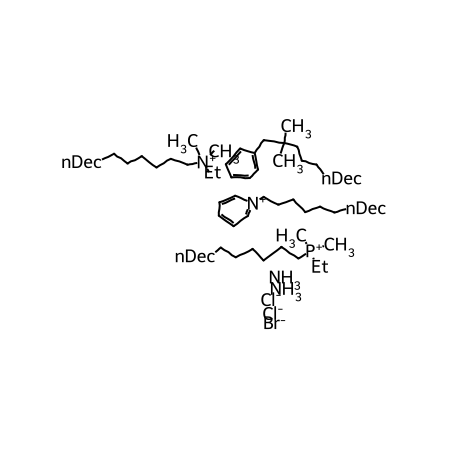 CCCCCCCCCCCCCC(C)(C)Cc1ccccc1.CCCCCCCCCCCCCCCC[N+](C)(C)CC.CCCCCCCCCCCCCCCC[P+](C)(C)CC.CCCCCCCCCCCCCCCC[n+]1ccccc1.N.N.[Br-].[Cl-].[Cl-]